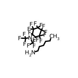 CCCCCCN.FC(F)(F)N(C(F)(F)F)C1(F)C(F)(F)C(F)(F)C(F)(F)C(F)(F)C1(F)F